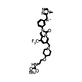 C[C@H](c1cccc(-n2cc3c(C(F)(F)F)cc(CN4CCC(OCCNC(=O)OC(C)(C)C)CC4)cn3c2=O)c1)c1nncn1C